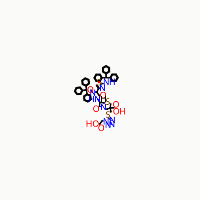 O=C(O)Cn1nnnc1SCC1(C(=O)O)CS[C@@H]2C(NC(=O)C(=NOC(c3ccccc3)(c3ccccc3)c3ccccc3)c3csc(NC(c4ccccc4)(c4ccccc4)c4ccccc4)n3)C(=O)N2C1